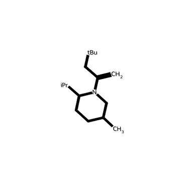 C=C(CC(C)(C)C)N1CC(C)CCC1C(C)C